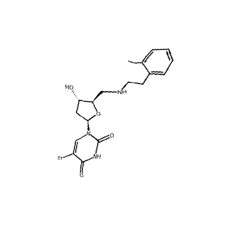 CCc1cn([C@H]2C[C@H](O)[C@@H](CNCCc3ccccc3C)O2)c(=O)[nH]c1=O